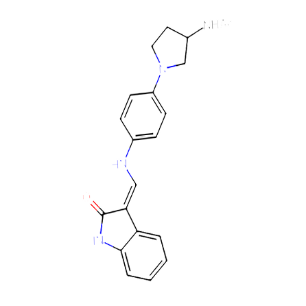 CC(=O)NC1CCN(c2ccc(NC=C3C(=O)Nc4ccccc43)cc2)C1